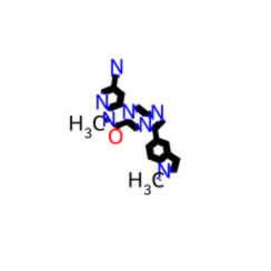 CN(C(=O)c1cn2c(-c3ccc4c(ccn4C)c3)cnc2cn1)c1ccc(C#N)cn1